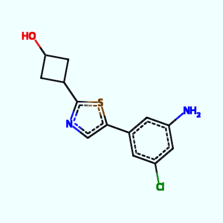 Nc1cc(Cl)cc(-c2cnc(C3CC(O)C3)s2)c1